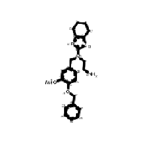 COc1cc(CN(CCN)c2nc3c(s2)CCCC3)ccc1OCc1ccccc1